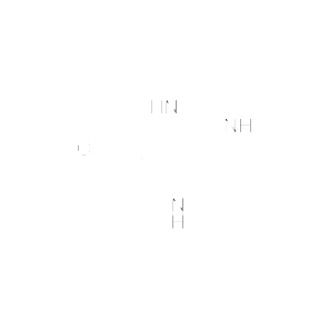 O=C1N[CH]NN1